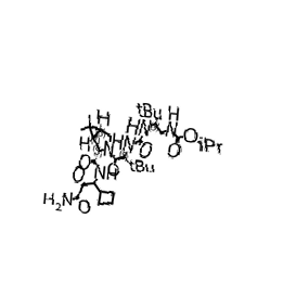 CC(C)OC(=O)NC[C@@H](NC(=O)N[C@H](C(=O)N1C[C@H]2[C@@H]([C@H]1C(=O)NC(C(=O)C(N)=O)C1CCC1)C2(C)C)C(C)(C)C)C(C)(C)C